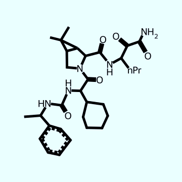 CCCC(NC(=O)C1C2C(CN1C(=O)C(NC(=O)NC(C)c1ccccc1)C1CCCCC1)C2(C)C)C(=O)C(N)=O